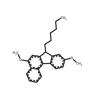 CCCCCCC1c2cc(OC)ccc2-c2c1cc(OC)c1ccccc21